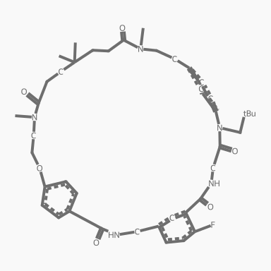 CN1CCOc2ccc(cc2)C(=O)NCc2ccc(F)c(c2)C(=O)NCC(=O)N(CC(C)(C)C)c2ccc(cc2)CCN(C)C(=O)CCC(C)(C)CCC1=O